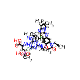 C#CCN1C(=O)COc2cc(F)c(/N=c3\snc4n3CC(C)(C)C4)cc21.CCNc1nc(Cl)nc(NC(C)(C)C)n1.CP(=O)(O)CCC(N)C(=O)O